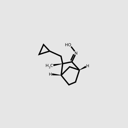 C[C@@]1(CC2CC2)/C(=N\O)[C@@H]2CC[C@H]1C2